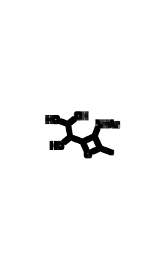 CC(=O)NC1C(C)OC1C(O)C(O)O